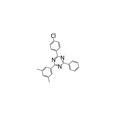 Cc1cc(C)cc(-c2nc(-c3ccccc3)nc(-c3ccc(Cl)cc3)n2)c1